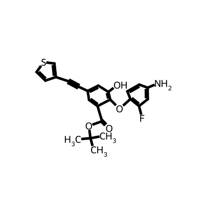 CC(C)(C)OC(=O)c1cc(C#Cc2ccsc2)cc(O)c1Oc1ccc(N)cc1F